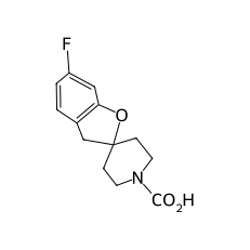 O=C(O)N1CCC2(CC1)Cc1ccc(F)cc1O2